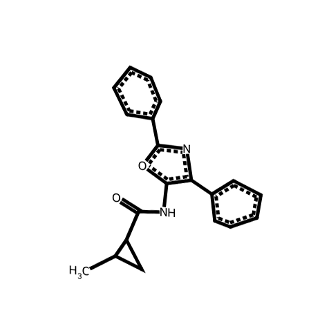 CC1CC1C(=O)Nc1oc(-c2ccccc2)nc1-c1ccccc1